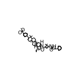 C=C[C@@H]1CC[C@]2(NC(=O)[C@@H]3C[C@H](NC(=O)OCc4ccccc4)C3(C)C)CC[C@]3(C)[C@H](CCC4[C@@]5(C)CC=C(c6ccc(C(=O)OC)cc6)C(C)(C)C5CC[C@]43C)C12